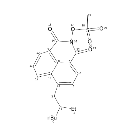 CCCCC(CC)Cc1ccc2c3c(cccc13)C(=O)N(OS(C)(=O)=O)C2=O